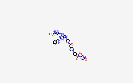 Cc1cc(Nc2nc(NCc3ccc(F)cc3F)nc3c2cnn3C2CCN(C(=O)CC3CCN(c4ccc5c(c4)C(=O)N(C4CCC(=O)NC4=O)C5=O)CC3)CC2)n[nH]1